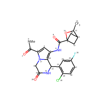 CNC(=O)c1cc(NC(=O)C23CC(C2)C(C(F)(F)F)O3)c2n1CC(=O)NC2c1cc(F)ccc1Cl